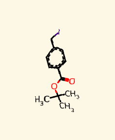 CC(C)(C)OC(=O)c1ccc(CI)cc1